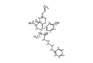 C=CCN1CC[C@@]2(c3cccc(O)c3)C[C@H](N(C)C(=O)CCCCCc3ccccc3)CC(OC(C)=O)[C@@H]2C1